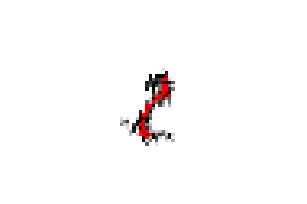 COc1c(C#N)ccc(N2C(=O)C(C)(C)N(c3ccc(-c4ccc(OCCNC(=O)COc5cccc6c5C(=O)N(C5CCC(=O)NC5O)C6=O)cc4)nc3)C2=S)c1F